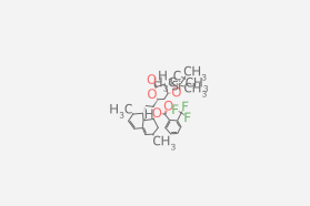 C[C@H]1C=C2C=C[C@H](C)[C@H](CC[C@@H]3C[C@@H](O[Si](C)(C)C(C)(C)C)CC(=O)O3)[C@H]2[C@@H](OC(=O)c2ccccc2C(F)(F)F)C1